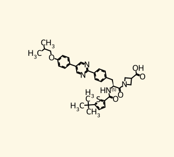 CC(C)COc1ccc(-c2cnc(-c3ccc(C[C@H](NC(=O)c4ccc(C(C)(C)C)s4)C(=O)N4CC(C(=O)O)C4)cc3)nc2)cc1